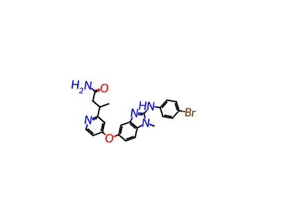 CC(CC(N)=O)c1cc(Oc2ccc3c(c2)nc(Nc2ccc(Br)cc2)n3C)ccn1